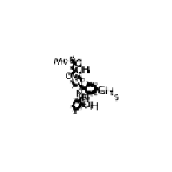 COC(=O)C[C@@H](O)C(=O)N1CCN(c2nc(-c3ccccc3O)nc3cc(C)ccc23)CC1